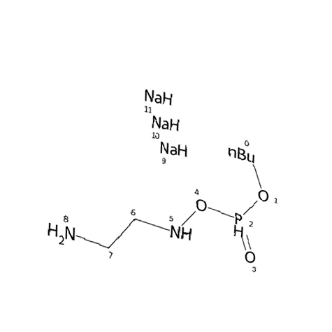 CCCCO[PH](=O)ONCCN.[NaH].[NaH].[NaH]